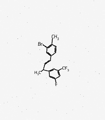 Cc1ccc(/C=C/C(C)c2cc(F)cc(C(F)(F)F)c2)cc1Br